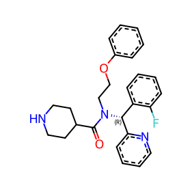 O=C(C1CCNCC1)N(CCOc1ccccc1)[C@@H](c1ccccn1)c1ccccc1F